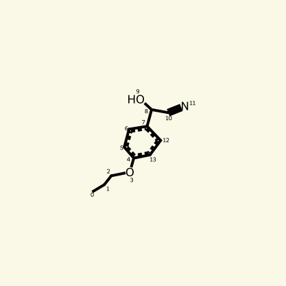 CCCOc1ccc(C(O)C#N)cc1